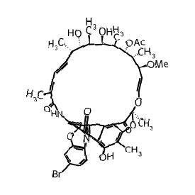 CO[C@H]1/C=C/O[C@@]2(C)Oc3c(C)c(O)c4c(=O)c(c5oc6cc(Br)ccc6nc-5c4c3C2=O)NC(=O)/C(C)=C\C=C\[C@H](C)[C@H](O)[C@@H](C)[C@@H](O)[C@@H](C)[C@H](OC(C)=O)[C@@H]1C